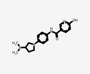 CN(C)C1CCN(c2ccc(NC(=O)c3ccc(O)nc3)cc2)C1